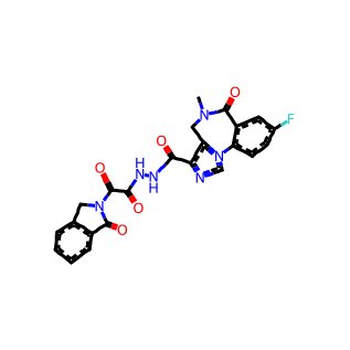 CN1Cc2c(C(=O)NNC(=O)C(=O)N3Cc4ccccc4C3=O)ncn2-c2ccc(F)cc2C1=O